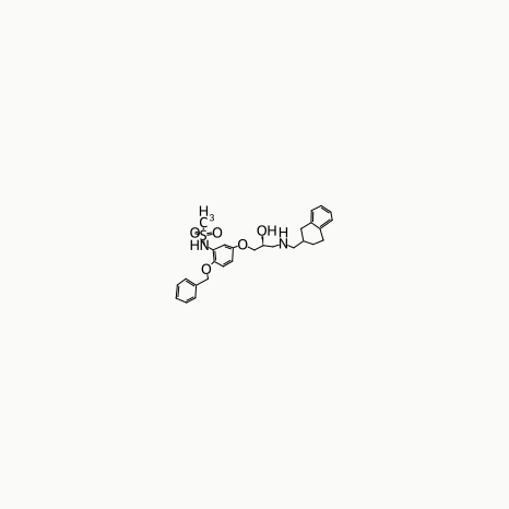 CS(=O)(=O)Nc1cc(OC[C@@H](O)CNCC2CCc3ccccc3C2)ccc1OCc1ccccc1